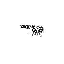 CC1(C)CC(NC(=O)c2c(Cl)cccc2Cl)c2cc(C(=O)N3CCC4(CC3)CCN(c3ccncc3)CC4)ccc21